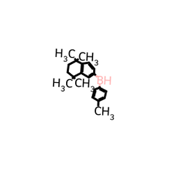 Cc1ccc(Bc2ccc3c(c2)C(C)(C)CCC3(C)C)cc1